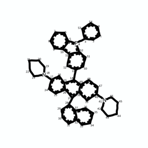 c1ccc(-p2c3ccccc3c3cc(-c4c5cc(N6CCCCC6)ccc5c(-c5cccc6ccccc56)c5cc(N6CCCCC6)ccc45)ccc32)cc1